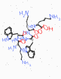 NCCCC[C@H](NC(=O)[C@H](CCCCN)NC(=O)[C@H](Cc1c[nH]c2ccccc12)NC(=O)[C@H](Cc1c[nH]c2ccccc12)NC(=O)[C@@H](N)CCCCN)C(=O)O